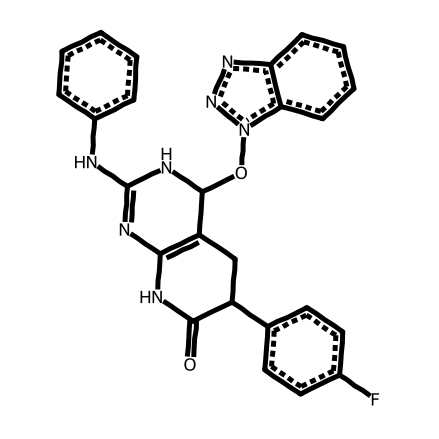 O=C1NC2=C(CC1c1ccc(F)cc1)C(On1nnc3ccccc31)NC(Nc1ccccc1)=N2